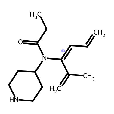 C=C/C=C(\C(=C)C)N(C(=O)CC)C1CCNCC1